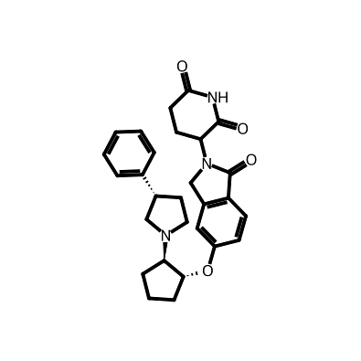 O=C1CCC(N2Cc3cc(O[C@@H]4CCC[C@H]4N4CC[C@@H](c5ccccc5)C4)ccc3C2=O)C(=O)N1